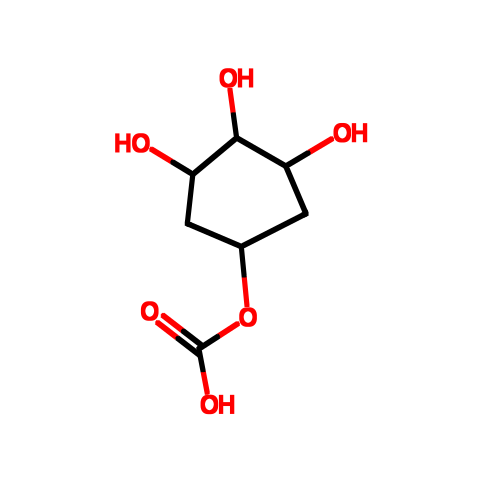 O=C(O)OC1CC(O)C(O)C(O)C1